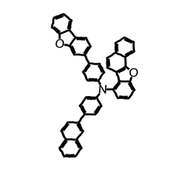 c1ccc2cc(-c3ccc(N(c4ccc(-c5ccc6c(c5)oc5ccccc56)cc4)c4cccc5oc6c7ccccc7ccc6c45)cc3)ccc2c1